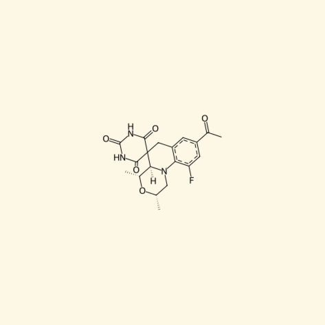 CC(=O)c1cc(F)c2c(c1)CC1(C(=O)NC(=O)NC1=O)[C@@H]1[C@@H](C)O[C@@H](C)CN21